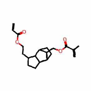 C=CC(=O)OCCC1CCC2C3CCC(C3COC(=O)C(=C)C)C12